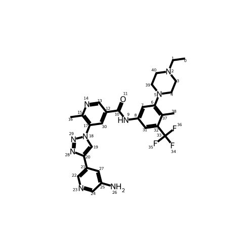 CCN1CCN(c2cc(NC(=O)c3cnc(C)c(-n4cc(-c5cncc(N)c5)nn4)c3)cc(C(F)(F)F)c2C)CC1